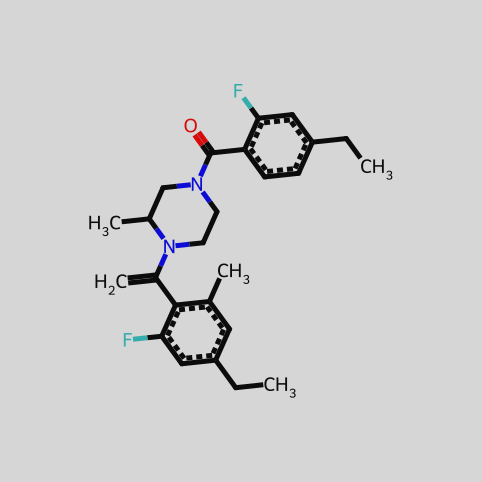 C=C(c1c(C)cc(CC)cc1F)N1CCN(C(=O)c2ccc(CC)cc2F)CC1C